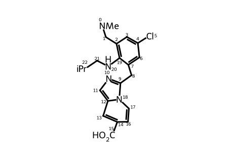 CNCc1cc(Cl)cc(Cc2ncc3cc(C(=O)O)ccn23)c1NCC(C)C